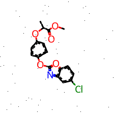 COC(=O)C(C)Oc1ccc(Oc2nc3cc(Cl)ccc3o2)cc1